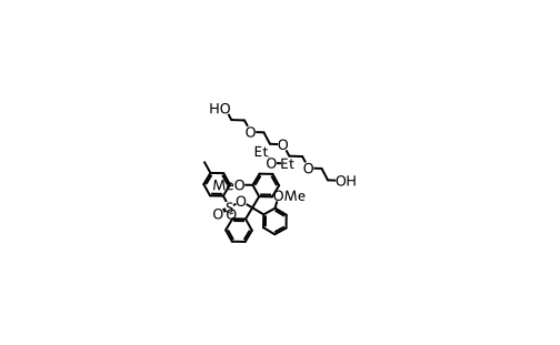 CCOCC.COc1ccccc1C(OS(=O)(=O)c1ccc(C)cc1)(c1ccccc1)c1ccccc1OC.OCCOCCOCCOCCO